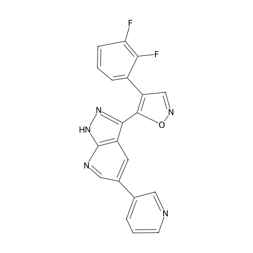 Fc1cccc(-c2cnoc2-c2n[nH]c3ncc(-c4cccnc4)cc23)c1F